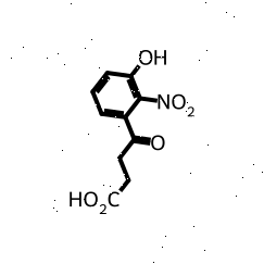 O=C(O)CCC(=O)c1cccc(O)c1[N+](=O)[O-]